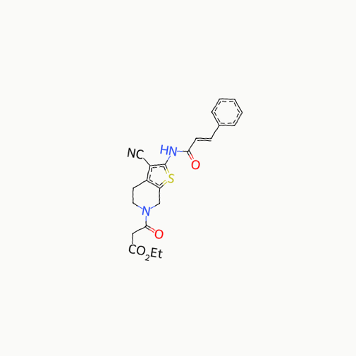 CCOC(=O)CC(=O)N1CCc2c(sc(NC(=O)C=Cc3ccccc3)c2C#N)C1